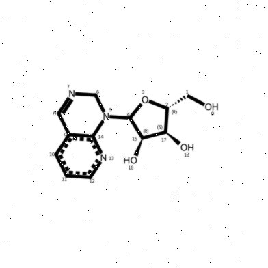 OC[C@H]1OC(N2CN=Cc3cccnc32)[C@H](O)[C@@H]1O